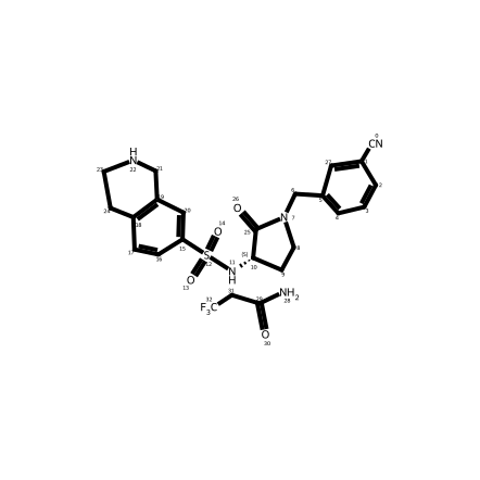 N#Cc1cccc(CN2CC[C@H](NS(=O)(=O)c3ccc4c(c3)CNCC4)C2=O)c1.NC(=O)CC(F)(F)F